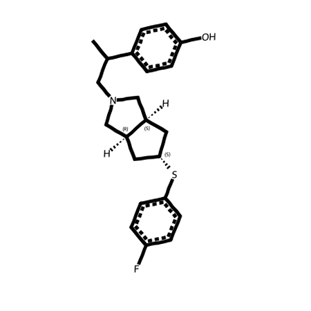 CC(CN1C[C@H]2C[C@H](Sc3ccc(F)cc3)C[C@H]2C1)c1ccc(O)cc1